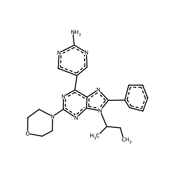 CCC(C)n1c(-c2ccccc2)nc2c(-c3cnc(N)nc3)nc(N3CCOCC3)nc21